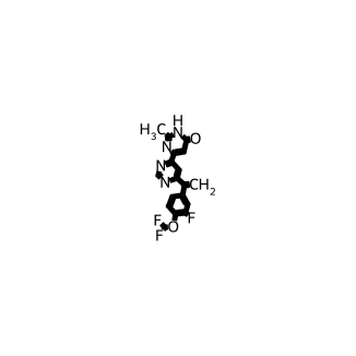 C=C(c1ccc(OC(F)F)c(F)c1)c1cc(-c2cc(=O)[nH]c(C)n2)ncn1